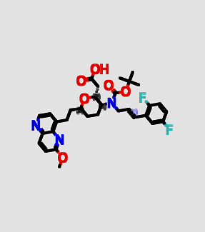 COc1ccc2nccc(CC[C@@H]3CC[C@@H](N(C/C=C/c4cc(F)ccc4F)C(=O)OC(C)(C)C)[C@@H](CC(=O)O)O3)c2n1